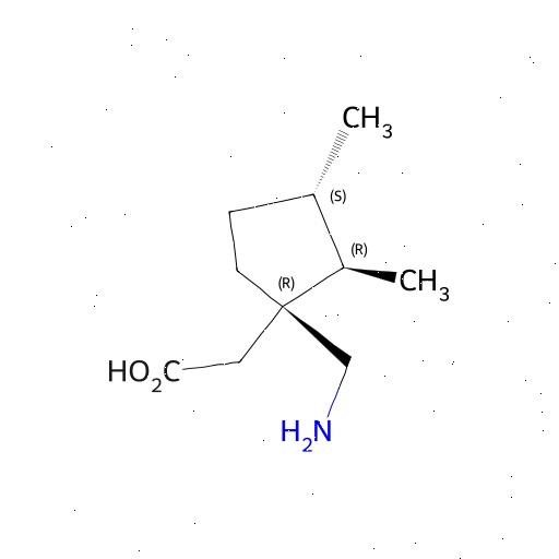 C[C@@H]1[C@@H](C)CC[C@@]1(CN)CC(=O)O